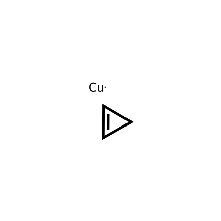 C1=CC1.[Cu]